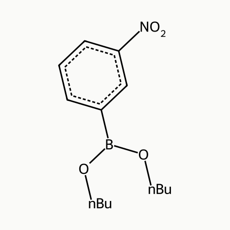 CCCCOB(OCCCC)c1cccc([N+](=O)[O-])c1